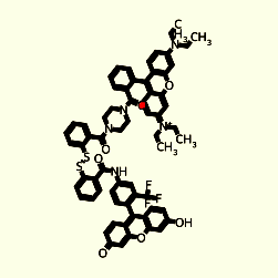 CCN(CC)c1ccc2c(-c3ccccc3C(=O)N3CCN(C(=O)c4ccccc4SSc4ccccc4C(=O)Nc4ccc(-c5c6ccc(=O)cc-6oc6cc(O)ccc56)c(C(F)(F)F)c4)CC3)c3ccc(=[N+](CC)CC)cc-3oc2c1